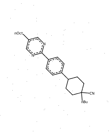 CCCCCCCCc1cnc(-c2ccc(C3CCC(C#N)(CCCC)CC3)cc2)nc1